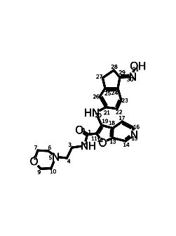 O=C(NCCN1CCOCC1)c1oc2cnccc2c1Nc1ccc2c(c1)CCC2=NO